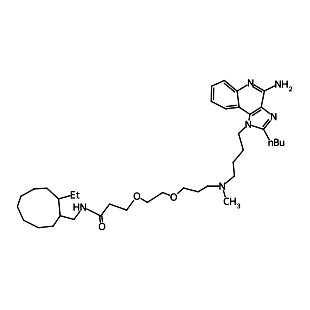 CCCCc1nc2c(N)nc3ccccc3c2n1CCCCN(C)CCCOCCOCCC(=O)NCC1CCCCCCCC1CC